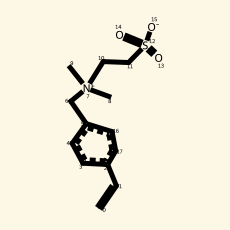 C=Cc1ccc(C[N+](C)(C)CCS(=O)(=O)[O-])cc1